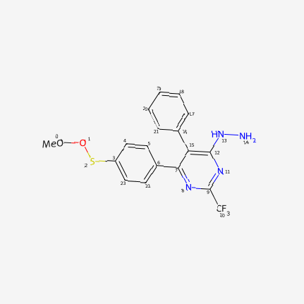 COOSc1ccc(-c2nc(C(F)(F)F)nc(NN)c2-c2ccccc2)cc1